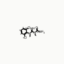 CN(C(=N)N(C)c1c(Cl)cccc1Cl)C(N)=O